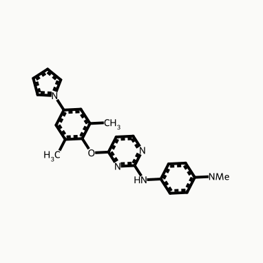 CNc1ccc(Nc2nccc(Oc3c(C)cc(-n4cccc4)cc3C)n2)cc1